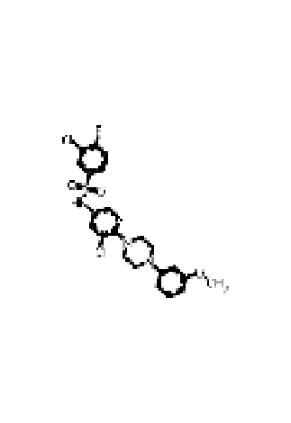 COc1cccc(N2CCN(c3ncc(NS(=O)(=O)c4ccc(F)c(Cl)c4)cc3Cl)CC2)c1